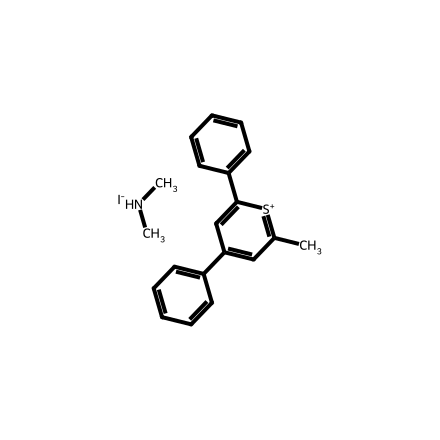 CNC.Cc1cc(-c2ccccc2)cc(-c2ccccc2)[s+]1.[I-]